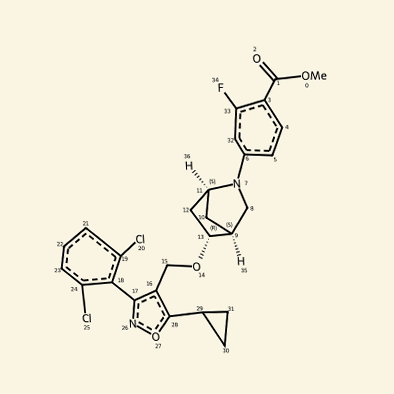 COC(=O)c1ccc(N2C[C@@H]3C[C@H]2C[C@H]3OCc2c(-c3c(Cl)cccc3Cl)noc2C2CC2)cc1F